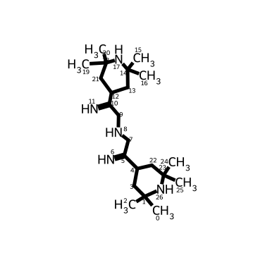 CC1(C)CC(C(=N)CNCC(=N)C2CC(C)(C)NC(C)(C)C2)CC(C)(C)N1